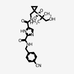 CC(C)(CO)S(=O)(=O)C1(CNC(=O)c2cnc(C(=O)NCc3ccc(C#N)cc3)[nH]2)CC1